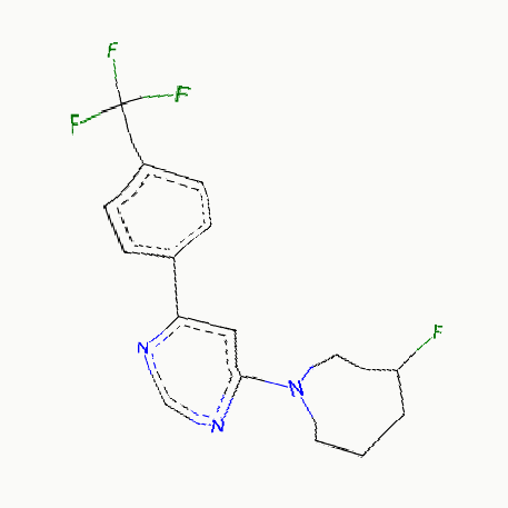 FC1CCCN(c2cc(-c3ccc(C(F)(F)F)cc3)ncn2)C1